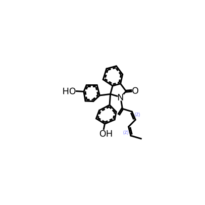 C=C(/C=C\C=C/C)N1C(=O)c2ccccc2C1(c1ccc(O)cc1)c1ccc(O)cc1